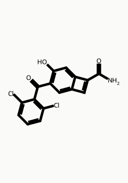 NC(=O)C1=Cc2cc(C(=O)c3c(Cl)cccc3Cl)c(O)cc21